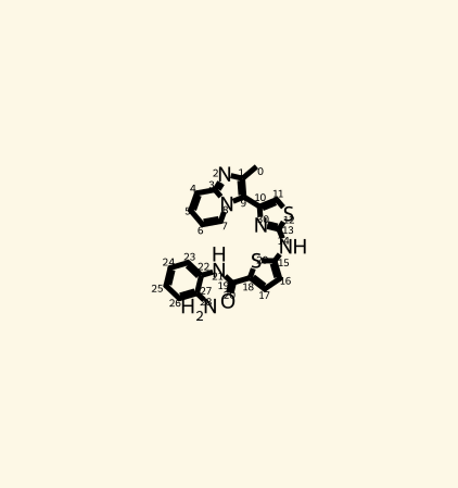 Cc1nc2ccccn2c1-c1csc(Nc2ccc(C(=O)Nc3ccccc3N)s2)n1